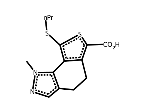 CCCSc1sc(C(=O)O)c2c1-c1c(cnn1C)CC2